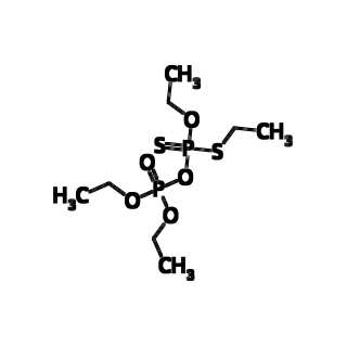 CCOP(=O)(OCC)OP(=S)(OCC)SCC